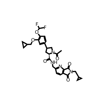 CC(=O)N1CC(c2ccc(OC(F)F)c(OCC3CC3)c2)C[C@@H]1C(=O)NCc1ccc2c(n1)C(=O)N(CC1CC1)C2=O